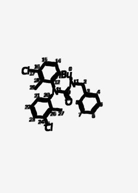 CCCCN(Cc1ccccc1)C(=O)N(c1cccc(Cl)c1C)c1cccc(Cl)c1C